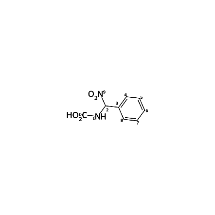 O=C(O)NC(c1ccccc1)[N+](=O)[O-]